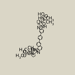 COC(=O)N[C@H](C(=O)N1CCCC1c1nc2ccc3cc(-c4ccc(-c5ccc6[nH]c([C@@H]7CCCN7C(=O)[C@@H](NC(=O)O)C(C)C)nc6c5)cc4)ccc3c2[nH]1)C(C)C